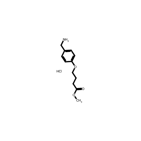 COC(=O)CCCOc1ccc(CN)cc1.Cl